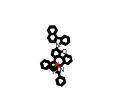 c1ccc(-c2nc(-c3ccccc3)nc(-c3cccc4oc5c(-n6c7ccccc7c7c8ccccc8ccc76)ccc(-c6ccccc6)c5c34)n2)cc1